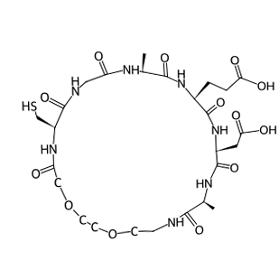 C[C@@H]1NC(=O)CNC(=O)[C@H](CS)NC(=O)COCCOCCNC(=O)[C@H](C)NC(=O)[C@H](CC(=O)O)NC(=O)[C@H](CCC(=O)O)NC1=O